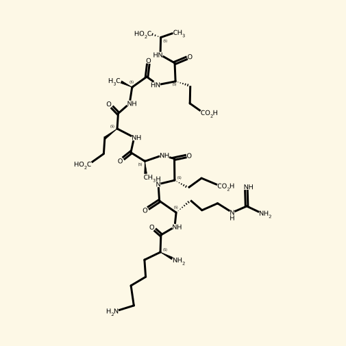 C[C@H](NC(=O)[C@H](CCC(=O)O)NC(=O)[C@H](C)NC(=O)[C@H](CCC(=O)O)NC(=O)[C@H](C)NC(=O)[C@H](CCC(=O)O)NC(=O)[C@H](CCCNC(=N)N)NC(=O)[C@@H](N)CCCCN)C(=O)O